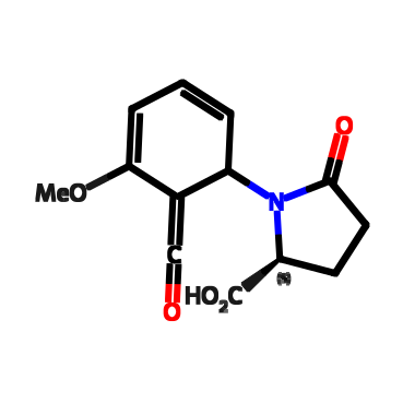 COC1=CC=CC(N2C(=O)CC[C@H]2C(=O)O)C1=C=O